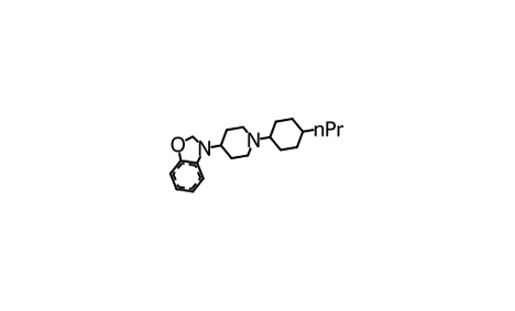 CCCC1CCC(N2CCC(N3COc4ccccc43)CC2)CC1